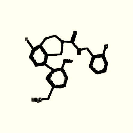 COc1ccc(CC(=O)O)cc1-c1ccc(F)c2c1CN(C(=O)NCc1ccccc1Cl)CC2